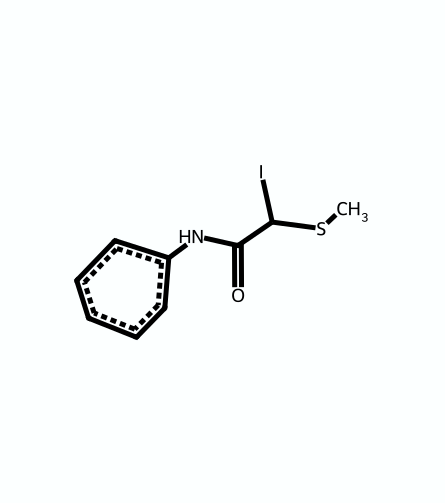 CSC(I)C(=O)Nc1ccccc1